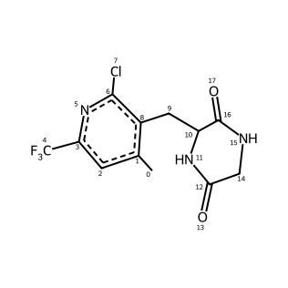 Cc1cc(C(F)(F)F)nc(Cl)c1CC1NC(=O)CNC1=O